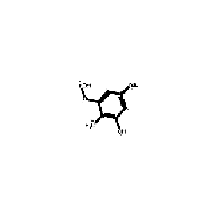 CCCCCCCCOc1cc(CCCC)cc(O)c1C